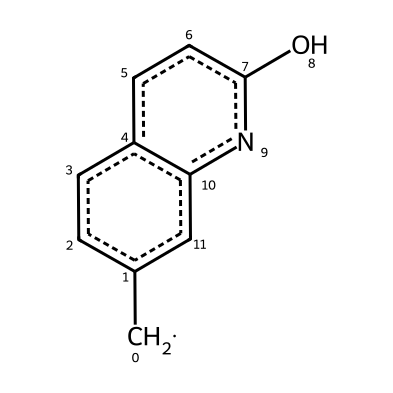 [CH2]c1ccc2ccc(O)nc2c1